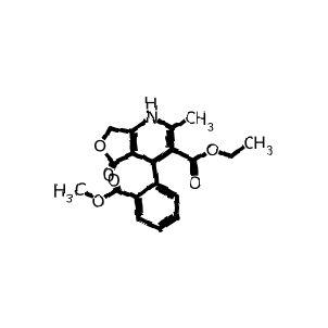 CCOC(=O)C1=C(C)NC2=C(C(=O)OC2)C1c1ccccc1C(=O)OC